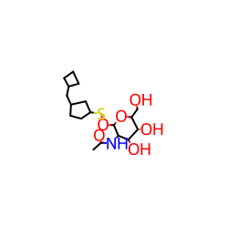 CC(=O)NC1C(OSC2CCC(CC3CCC3)C2)OC(CO)[C@H](O)C1O